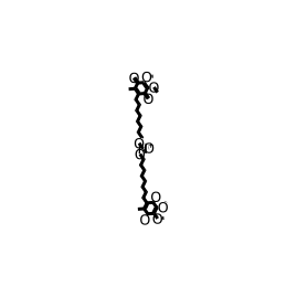 COC1=C(OC)C(=O)C(CCCCCCCCO[N+](=O)OCCCCCCCCC2=C(C)C(=O)C(OC)=C(OC)C2=O)=C(C)C1=O